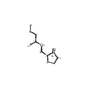 CCCC(I)OC[C@@H]1CCCN1